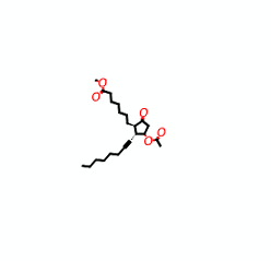 CCCCCCC#C[C@H]1[C@H](OC(C)=O)CC(=O)[C@@H]1CCCCCCC(=O)OC